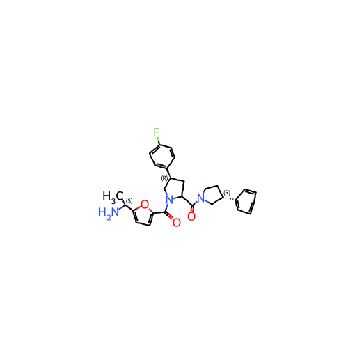 C[C@H](N)c1ccc(C(=O)N2C[C@@H](c3ccc(F)cc3)CC2C(=O)N2CC[C@H](c3ccccc3)C2)o1